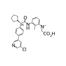 Cc1c(NC(=O)[C@@H](c2ccc(-c3cncc(Cl)c3)cc2)C2CCCC2)cccc1N(C)CC(=O)O